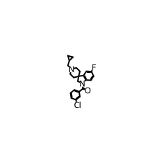 O=C(c1cccc(Cl)c1)N1CC2(CCN(CC3CC3)CC2)c2cc(F)ccc21